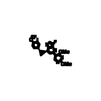 COc1ncc(-c2cc([C@H]3C[C@@H]3c3ccc(OC(F)(F)F)cc3)c3ncc(F)n3n2)c(OC)n1